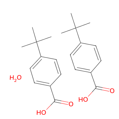 CC(C)(C)c1ccc(C(=O)O)cc1.CC(C)(C)c1ccc(C(=O)O)cc1.O